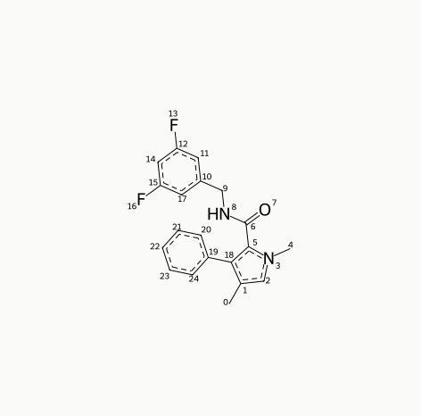 Cc1cn(C)c(C(=O)NCc2cc(F)cc(F)c2)c1-c1ccccc1